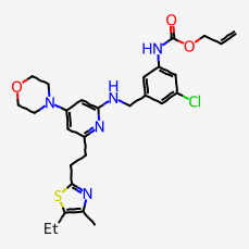 C=CCOC(=O)Nc1cc(Cl)cc(CNc2cc(N3CCOCC3)cc(CCc3nc(C)c(CC)s3)n2)c1